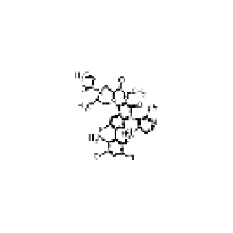 C=CC(=O)N1CC2C(=O)N(C)c3c(c4cc(F)c(-c5c(N)c(Cl)cc(Cl)c5F)c(Cl)c4n(-c4c(C)ccnc4C(C)C)c3=O)N2CC1C